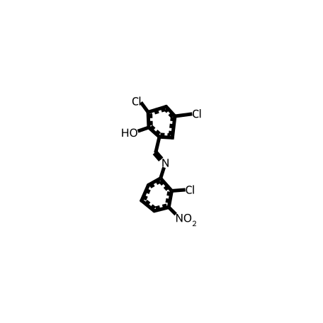 O=[N+]([O-])c1cccc(/N=C/c2cc(Cl)cc(Cl)c2O)c1Cl